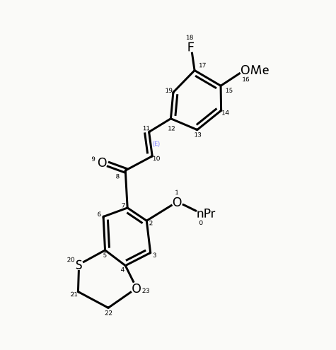 CCCOc1cc2c(cc1C(=O)/C=C/c1ccc(OC)c(F)c1)SCCO2